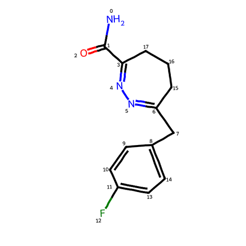 NC(=O)C1=NN=C(Cc2ccc(F)cc2)CCC1